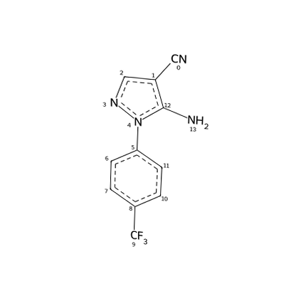 N#Cc1cnn(-c2ccc(C(F)(F)F)cc2)c1N